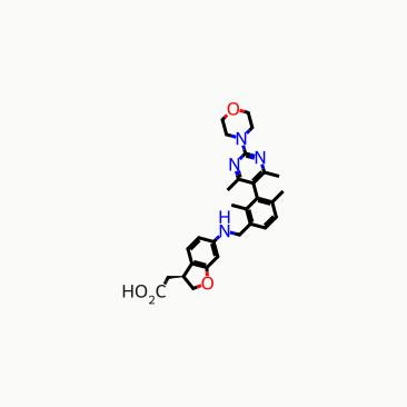 Cc1ccc(CNc2ccc3c(c2)OC[C@H]3CC(=O)O)c(C)c1-c1c(C)nc(N2CCOCC2)nc1C